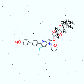 CC(C)(C)[Si](C)(C)OC1CO[C@H]2[C@@H]1OC[C@H]2Oc1cc2nc(-c3ccc(-c4ccc(O)cc4)cc3)c(F)cc2n1C1CCCCO1